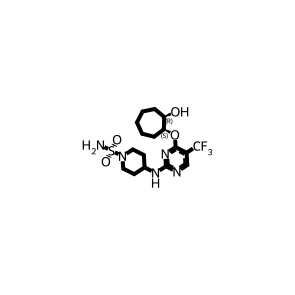 NS(=O)(=O)N1CCC(Nc2ncc(C(F)(F)F)c(O[C@H]3CCCCC[C@H]3O)n2)CC1